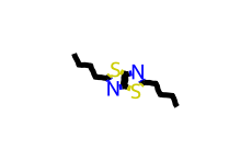 CCCCc1nc2sc(CCCC)nc2s1